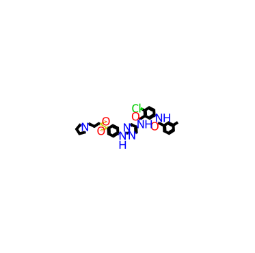 Cc1cccc(C(=O)Nc2ccc(Cl)c(C(=O)Nc3cnc(Nc4ccc(S(=O)(=O)CCCN5CCCC5)cc4)nc3)c2)c1